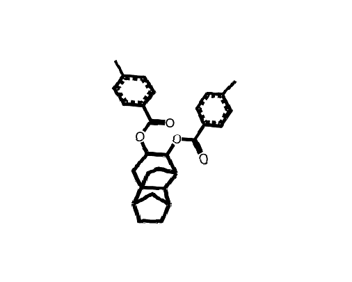 Cc1ccc(C(=O)OC2CC34CCC(C2OC(=O)c2ccc(C)cc2)C3C2CCC4C2)cc1